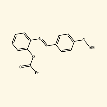 CCCCOc1ccc(C=Nc2ccccc2OC(=O)CC)cc1